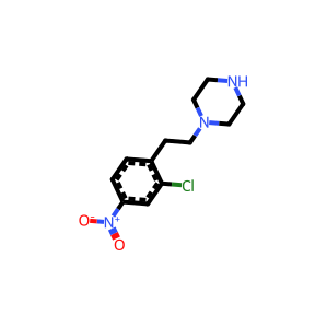 O=[N+]([O-])c1ccc(CCN2CCNCC2)c(Cl)c1